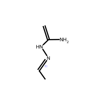 C=C(N)N/N=C/C